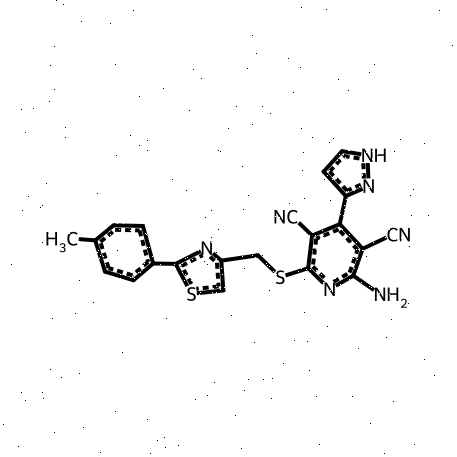 Cc1ccc(-c2nc(CSc3nc(N)c(C#N)c(-c4cc[nH]n4)c3C#N)cs2)cc1